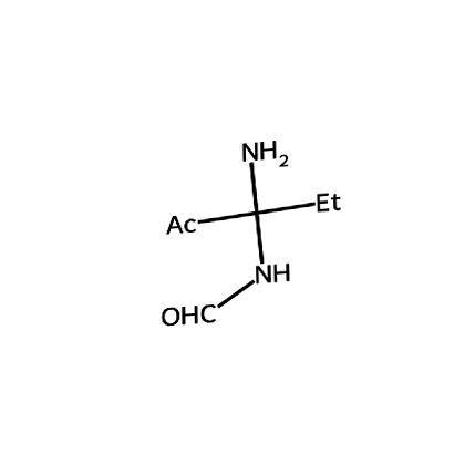 CCC(N)(NC=O)C(C)=O